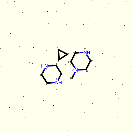 C1CC1.C1CNCCN1.CN1CCNCC1